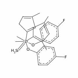 CC1=CC[C]([Zr]([CH3])([CH3])(=[SiH2])([O]c2ccc(F)cc2)([O]c2ccc(F)cc2)[C]2=C(C)C=C(C)C2)=C1